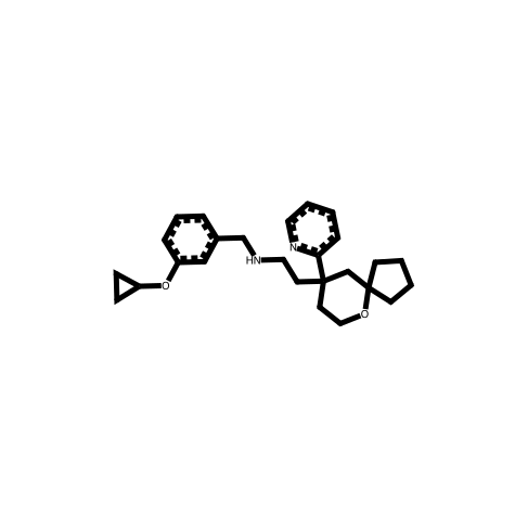 c1ccc(C2(CCNCc3cccc(OC4CC4)c3)CCOC3(CCCC3)C2)nc1